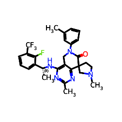 Cc1cccc(N2Cc3c(N[C@H](C)c4cccc(C(F)(F)F)c4F)nc(C)nc3C3(CCN(C)C3)C2=O)c1